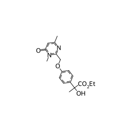 CCOC(=O)C(C)(O)c1ccc(OCc2nc(C)cc(=O)n2C)cc1